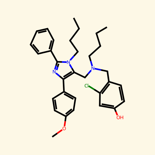 CCCCN(Cc1ccc(O)cc1Cl)Cc1c(-c2ccc(OC)cc2)nc(-c2ccccc2)n1CCCC